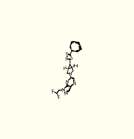 FC(F)Cn1ncc2ncc(N3C[C@@H]4C(c5nnc(-c6ccccc6)s5)[C@@H]4C3)nc21